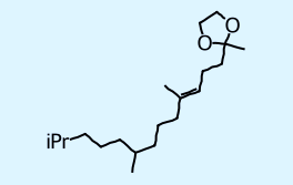 C/C(=C\CCC1(C)OCCO1)CCCC(C)CCCC(C)C